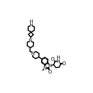 Cn1c(=O)n(C2CCC(=O)NC2=O)c2ccc(C3CCN(CC4CCN(C5CC6(CCNCC6)C5)CC4)CC3)cc21